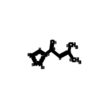 CC(C)=CC(=O)n1cnnn1